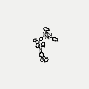 c1ccc(-c2nc(-c3ccccc3)nc(-c3ccc(-n4c5ccccc5c5ccc6c(c7ccccc7n6-c6ccc7oc8ccccc8c7c6)c54)cc3)n2)cc1